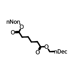 CCCCCCCCCCCOC(=O)CCCCC(=O)OCCCCCCCCC